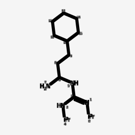 CC(C)N=C(NC(C)C)NC(N)CCC1CCCCC1